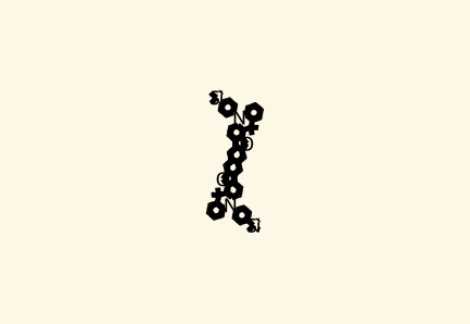 CC1(C)c2ccccc2N(c2ccc([Si](C)(C)C)cc2)c2ccc3c(oc4cc5cc6c(cc5cc43)oc3c4c(ccc36)N(c3ccc([Si](C)(C)C)cc3)c3ccccc3C4(C)C)c21